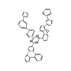 c1ccc(-c2cccc(-c3ccc(-c4nc(-c5ccc6c7ccccc7c7ccccc7c6c5)nc(-c5cccc6oc7c(-c8cccc(-c9ccccc9)c8)cccc7c56)n4)cc3)c2)cc1